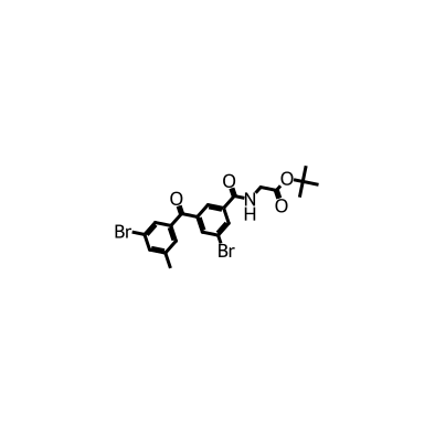 Cc1cc(Br)cc(C(=O)c2cc(Br)cc(C(=O)NCC(=O)OC(C)(C)C)c2)c1